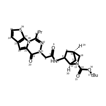 CC(C)c1nn(CC(=O)NC2C[C@@H]3C[C@H]2N(C(=O)OC(C)(C)C)C3)c(=O)c2cc3ccsc3n12